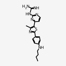 CCCCNc1ccc(-c2nc(C)c(-c3ccnc(NC(=N)N)n3)s2)cc1